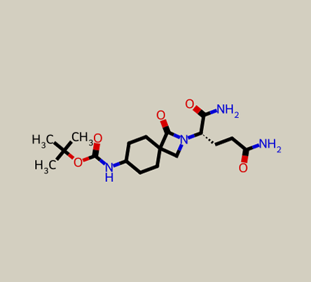 CC(C)(C)OC(=O)NC1CCC2(CC1)CN([C@@H](CCC(N)=O)C(N)=O)C2=O